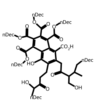 CCCCCCCCCCCC(C)C(CO)C(=O)Cc1c(CCC(=O)C(O)CCCCCCCCCC)c(O)c2c(C(=O)OCCCCCCCCCC)c(C(=O)OCCCCCCCCCC)c(C(=O)OCCCCCCCCCC)c(C(=O)OCCCCCCCCCC)c2c1C(=O)O